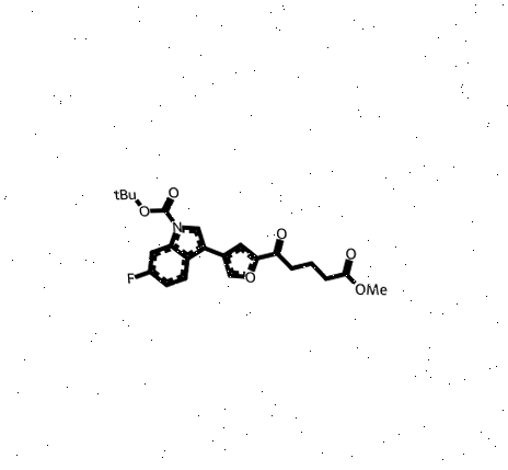 COC(=O)CCCC(=O)c1cc(-c2cn(C(=O)OC(C)(C)C)c3cc(F)ccc23)co1